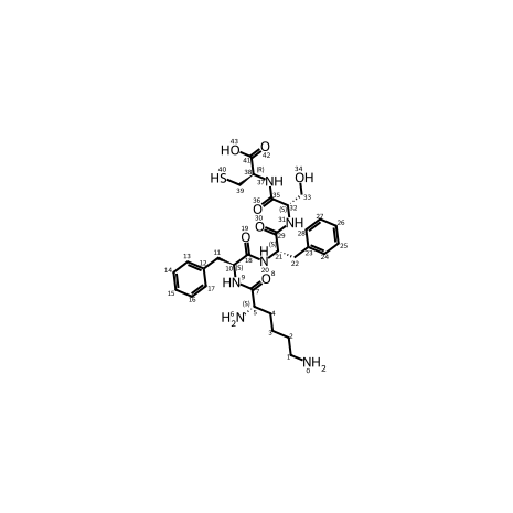 NCCCC[C@H](N)C(=O)N[C@@H](Cc1ccccc1)C(=O)N[C@@H](Cc1ccccc1)C(=O)N[C@@H](CO)C(=O)N[C@@H](CS)C(=O)O